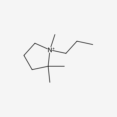 CCC[N+]1(C)CCCC1(C)C